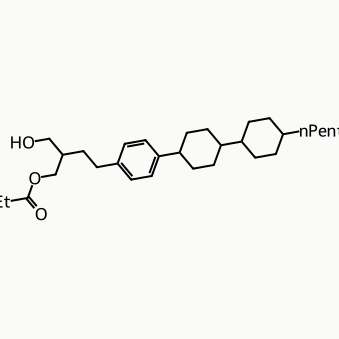 CCCCCC1CCC(C2CCC(c3ccc(CCC(CO)COC(=O)CC)cc3)CC2)CC1